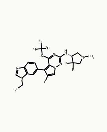 [2H]C([2H])([2H])Oc1nc(N[C@@H]2CN(C)CC2(F)F)nn2cc(F)c(-c3ccc4nnn(CC(F)(F)F)c4c3)c12